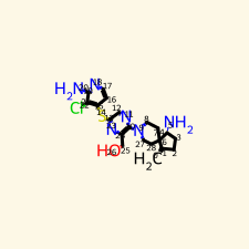 C=C1CC[C@@H](N)C12CCN(c1ncc(Sc3ccnc(N)c3Cl)nc1CO)CC2